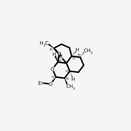 CCO[C@H]1O[C@@H]2O[C@@]3(C)CC[C@H]4[C@H](C)CC[C@@H]([C@H]1C)C24OO3